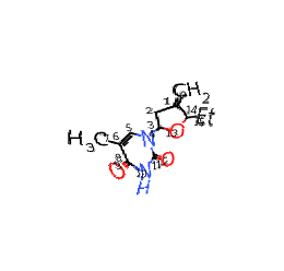 C=C1CC(n2cc(C)c(=O)[nH]c2=O)OC1CC